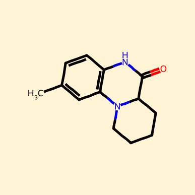 Cc1ccc2c(c1)N1CCCCC1C(=O)N2